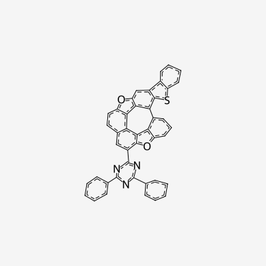 c1ccc(-c2nc(-c3ccccc3)nc(-c3cc4ccc5oc6cc7c(sc8ccccc87)c7c6c5c4c4c3oc3cccc-7c34)n2)cc1